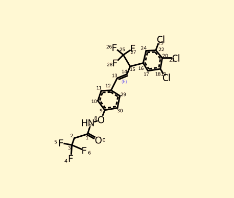 O=C(CC(F)(F)F)NOc1ccc(/C=C/C(c2cc(Cl)c(Cl)c(Cl)c2)C(F)(F)F)cc1